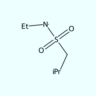 CC[N]S(=O)(=O)CC(C)C